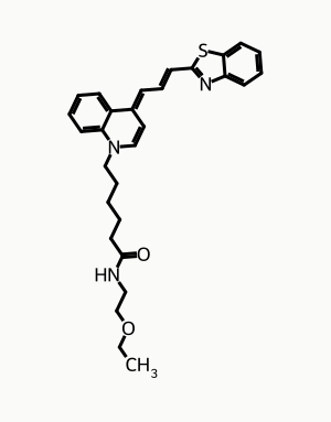 CCOCCNC(=O)CCCCCN1C=CC(=CC=Cc2nc3ccccc3s2)c2ccccc21